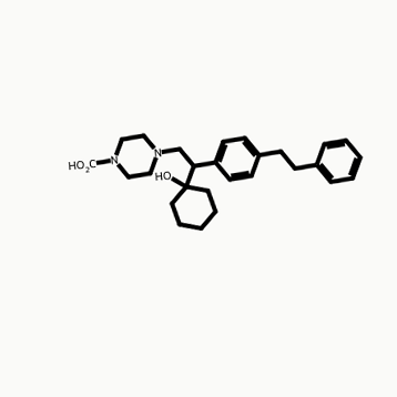 O=C(O)N1CCN(CC(c2ccc(CCc3ccccc3)cc2)C2(O)CCCCC2)CC1